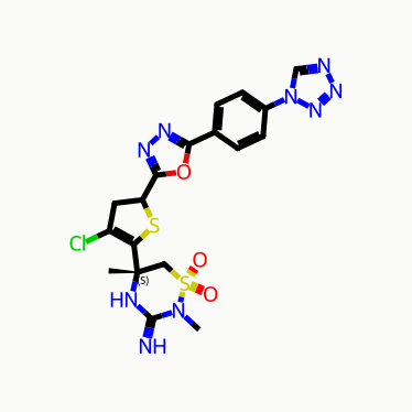 CN1C(=N)N[C@](C)(C2=C(Cl)CC(c3nnc(-c4ccc(-n5cnnn5)cc4)o3)S2)CS1(=O)=O